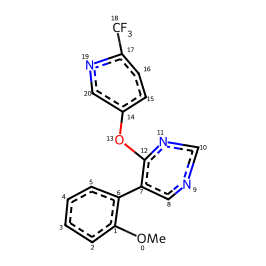 COc1ccccc1-c1cncnc1Oc1ccc(C(F)(F)F)nc1